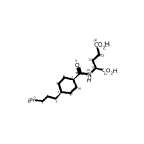 CC(C)CCC[C@H]1CC[C@@H](C(=O)NC(CCC(=O)O)C(=O)O)CC1